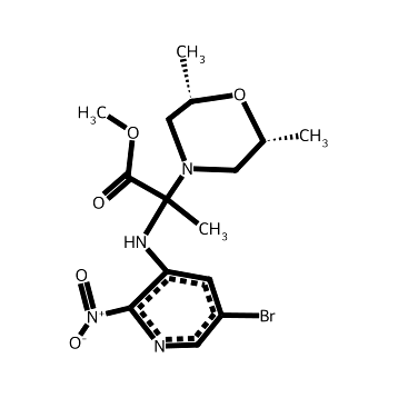 COC(=O)C(C)(Nc1cc(Br)cnc1[N+](=O)[O-])N1C[C@@H](C)O[C@@H](C)C1